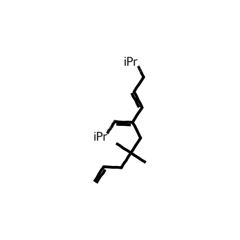 C=CCC(C)(C)CC(C=CCC(C)C)=CC(C)C